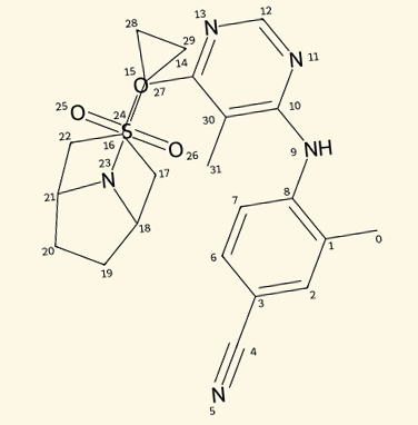 Cc1cc(C#N)ccc1Nc1ncnc(OC2CC3CCC(C2)N3S(=O)(=O)C2CC2)c1C